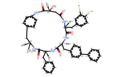 O=C1C[C@@H](O)C(=O)Nc2ccc(cc2)C[C@@H](C(=O)O)NC(=O)[C@@H](Cc2ccccc2)NC(=O)[C@H](Cc2ccc(-c3ccccc3)cc2)NC(=O)[C@@H](Cc2ccc(F)c(F)c2)N1